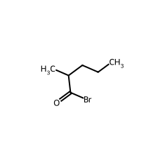 CCCC(C)C(=O)Br